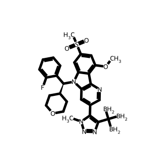 BC(B)(B)c1nnn(C)c1-c1cnc2c3c(OC)cc(S(C)(=O)=O)cc3n([C@H](c3ccccc3F)C3CCOCC3)c2c1